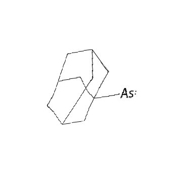 [As]C12CC3CC(CC(C3)C1)C2